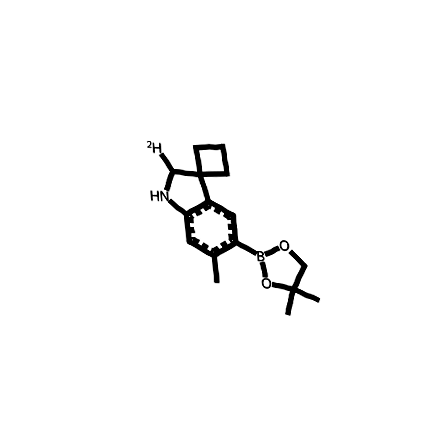 [2H]C1Nc2cc(C)c(B3OCC(C)(C)O3)cc2C12CCC2